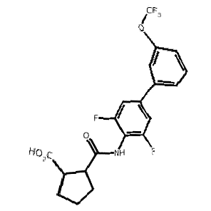 O=C(O)C1CCCC1C(=O)Nc1c(F)cc(-c2cccc(OC(F)(F)F)c2)cc1F